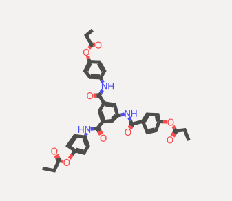 CCC(=O)Oc1ccc(NC(=O)c2cc(NC(=O)c3ccc(OC(=O)CC)cc3)cc(C(=O)Nc3ccc(OC(=O)CC)cc3)c2)cc1